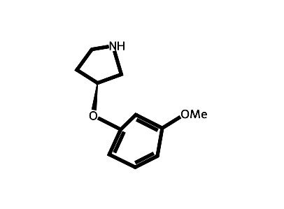 COc1cccc(O[C@H]2CCNC2)c1